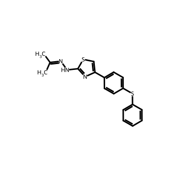 CC(C)=NNc1nc(-c2ccc(Sc3ccccc3)cc2)cs1